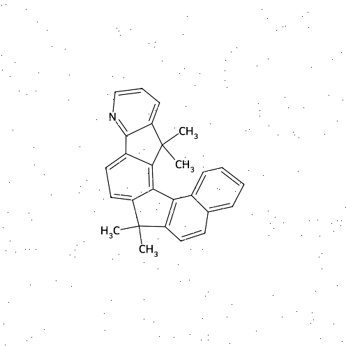 CC1(C)c2ccc3c(c2-c2c1ccc1ccccc21)C(C)(C)c1cccnc1-3